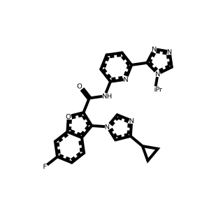 CC(C)n1cnnc1-c1cccc(NC(=O)c2oc3cc(F)ccc3c2-n2cnc(C3CC3)c2)n1